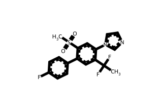 CC(F)(F)c1cc(-c2ccc(F)cc2)c(S(C)(=O)=O)cc1-n1ccnc1